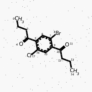 CCCC(=O)c1cc(Br)c(C(=O)CCC)cc1Cl